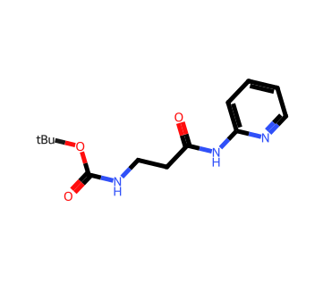 CC(C)(C)OC(=O)NCCC(=O)Nc1ccccn1